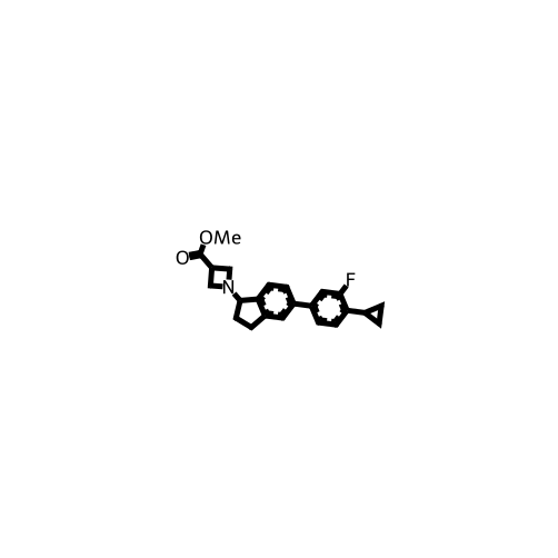 COC(=O)C1CN(C2CCc3cc(-c4ccc(C5CC5)c(F)c4)ccc32)C1